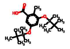 Cc1c(O[Si](C)(C)C(C)(C)C)cc(O[Si](C)(C)C(C)(C)C)cc1C(=O)O